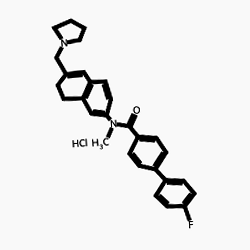 CN(C(=O)c1ccc(-c2ccc(F)cc2)cc1)c1ccc2c(c1)CCC(CN1CCCC1)=C2.Cl